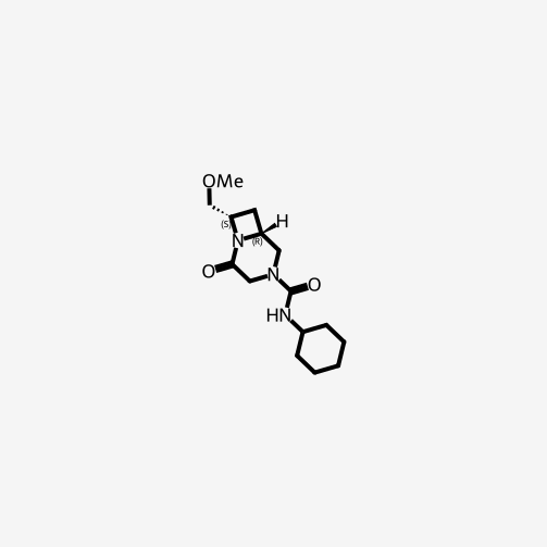 COC[C@@H]1C[C@@H]2CN(C(=O)NC3CCCCC3)CC(=O)N12